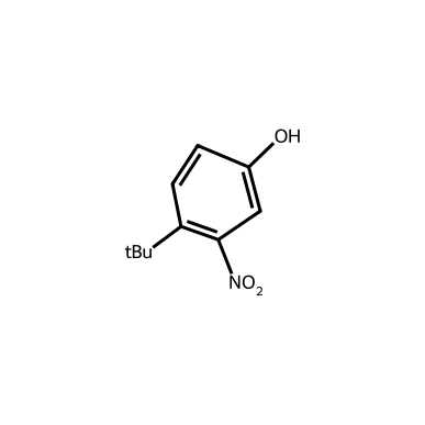 CC(C)(C)c1ccc(O)cc1[N+](=O)[O-]